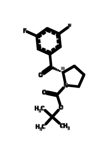 CC(C)(C)OC(=O)N1CCC[C@H]1C(=O)c1cc(F)cc(F)c1